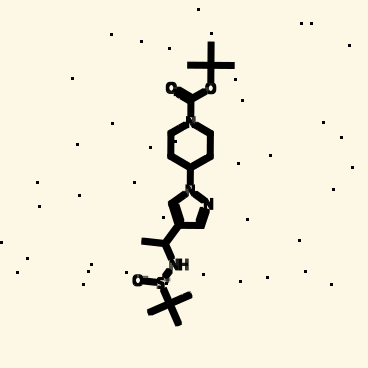 CC(N[S+]([O-])C(C)(C)C)c1cnn(C2CCN(C(=O)OC(C)(C)C)CC2)c1